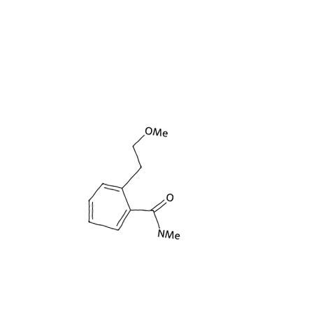 CNC(=O)c1ccccc1CCOC